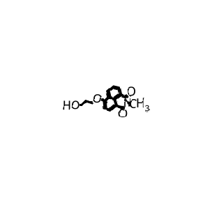 CN1C(=O)c2cccc3c(OCCCO)ccc(c23)C1=O